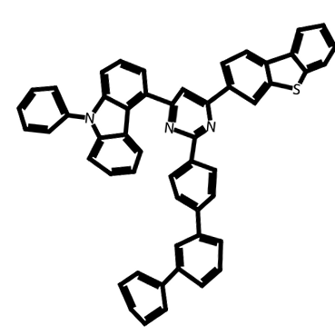 c1ccc(-c2cccc(-c3ccc(-c4nc(-c5ccc6c(c5)sc5ccccc56)cc(-c5cccc6c5c5ccccc5n6-c5ccccc5)n4)cc3)c2)cc1